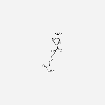 COC(=O)CCCCCNC(=O)c1cnc(SC)cn1